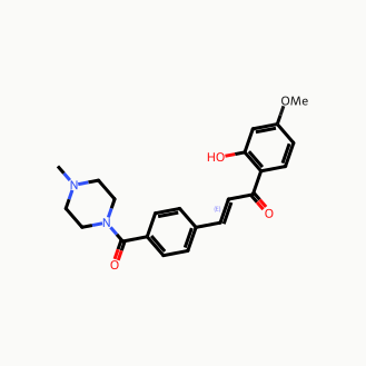 COc1ccc(C(=O)/C=C/c2ccc(C(=O)N3CCN(C)CC3)cc2)c(O)c1